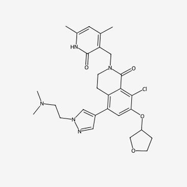 Cc1cc(C)c(CN2CCc3c(-c4cnn(CCN(C)C)c4)cc(OC4CCOC4)c(Cl)c3C2=O)c(=O)[nH]1